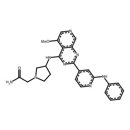 COc1cncc2nc(-c3ccnc(Nc4ccccc4)c3)nc(NC3CCN(CC(N)=O)C3)c12